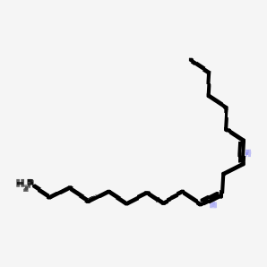 CCCCC/C=C\C/C=C\CCCCCCCCP